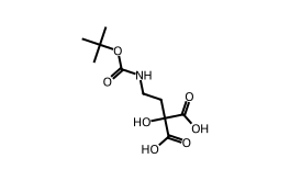 CC(C)(C)OC(=O)NCCC(O)(C(=O)O)C(=O)O